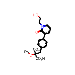 CC(C)OC(Cc1ccc(-c2cccn(CCO)c2=O)cc1)(C(=O)O)C(=O)O